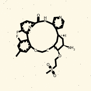 Cc1cc(F)c2c(c1)OCC[C@H]1C[C@H](C[C@@H](N)[C@H]1OCCS(C)(=O)=O)c1ccncc1NC(=O)c1ccc(F)c-2n1